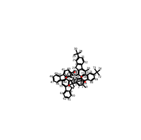 Cc1cc(C(C)(C)C)[c]([Zr]([Cl])([Cl])([c]2c(C(C)(C)C)cc(C)c3c2Cc2cc(C(C)(C)C)ccc2-3)[Zr]([Cl])([Cl])([c]2c(C)ccc3c2Cc2ccccc2-3)[c]2c(C)ccc3c2Cc2ccccc2-3)c2c1-c1ccc(C(C)(C)C)cc1C2